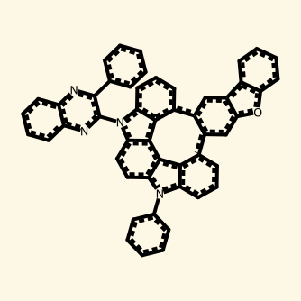 c1ccc(-c2nc3ccccc3nc2-n2c3cccc4c5cc6c(cc5c5cccc7c5c5c(c43)c2ccc5n7-c2ccccc2)oc2ccccc26)cc1